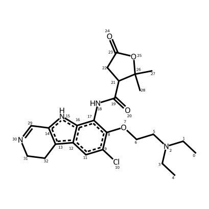 CCN(CC)CCOc1c(Cl)cc2c3c([nH]c2c1NC(=O)C1CC(=O)OC1(C)C)C=NCC3